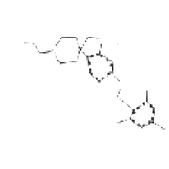 Cl.O=C(O)CCN1CCC2(CC1)COc1cc(OCc3c(Cl)cc(I)cc3Cl)ccc12